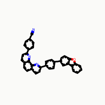 N#Cc1ccc(-c2ccc3ccc4ccc(-c5ccc(-c6ccc7oc8ccccc8c7c6)cc5)nc4c3n2)cc1